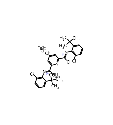 C/C(=N\c1c(Cl)cccc1C(C)(C)C)c1cccc(/C(C)=N/c2c(Cl)cccc2C(C)(C)C)n1.[Cl-].[Cl-].[Fe+2]